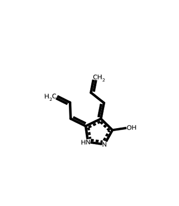 C=C/C=c1/[nH]nc(O)/c1=C/C=C